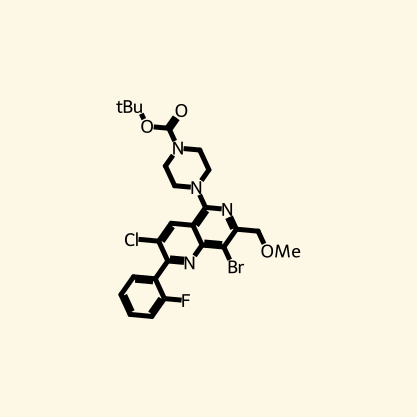 COCc1nc(N2CCN(C(=O)OC(C)(C)C)CC2)c2cc(Cl)c(-c3ccccc3F)nc2c1Br